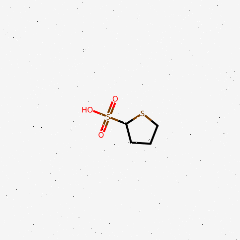 O=S(=O)(O)C1[CH]CCS1